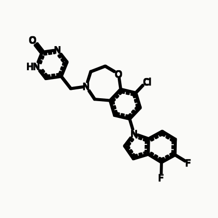 O=c1ncc(CN2CCOc3c(Cl)cc(-n4ccc5c(F)c(F)ccc54)cc3C2)c[nH]1